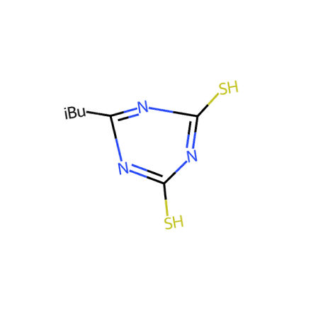 CCC(C)c1nc(S)nc(S)n1